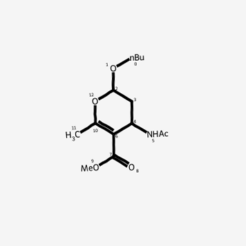 CCCCOC1CC(NC(C)=O)C(C(=O)OC)=C(C)O1